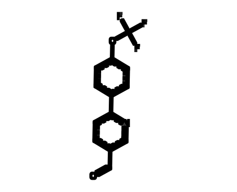 O=Cc1ccc(-c2ccc(OC(F)(F)F)cc2)nc1